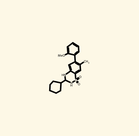 COc1ccccc1-c1cc2c(cc1C)S(=O)(=O)NC(C1CCCCC1)N2